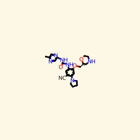 Cc1cnc(NC(=O)Nc2cc(C#N)c(N3CCCC3)cc2OC[C@@H]2CNCCO2)cn1